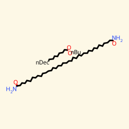 CCCCCCCCCCCCCCCCCC(=O)OCCCC.NC(=O)CCCCCCCCCCCCCCCCCCCCCCCCCCCCCCCCCCCCC(N)=O